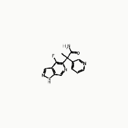 CC(C(N)=O)(c1cccnc1)c1ncc2[nH]ncc2c1F